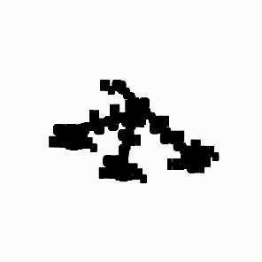 COCCCCCCNC(=O)C(CCCCNC(=O)CCCC(=O)NCCOCCOC1OC(CO)C(O)C(O)C1NC(C)=O)NC(=O)C(CCCCNC(=O)CCCC(=O)NCCOCCOC1OC(CO)C(O)C(O)C1NC(C)=O)NC(=O)CCCC(=O)NCCOCCOC1OC(CO)C(O)C(O)C1NC(C)=O